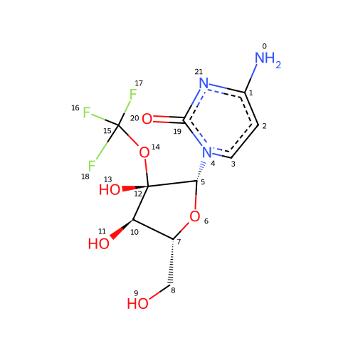 Nc1ccn([C@@H]2O[C@H](CO)[C@@H](O)[C@]2(O)OC(F)(F)F)c(=O)n1